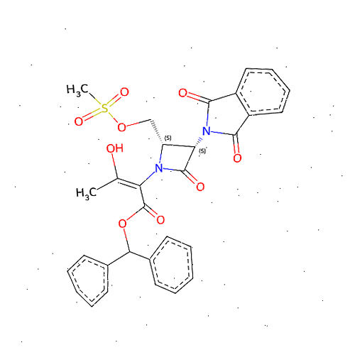 CC(O)=C(C(=O)OC(c1ccccc1)c1ccccc1)N1C(=O)[C@@H](N2C(=O)c3ccccc3C2=O)[C@H]1COS(C)(=O)=O